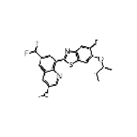 C[CH][C@H](C)Oc1cc2sc(-c3cc(C(F)F)cc4cc(OC)cnc34)nc2cc1F